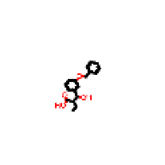 CCC(C(=O)O)C(O)c1cccc(OCc2ccccc2)c1